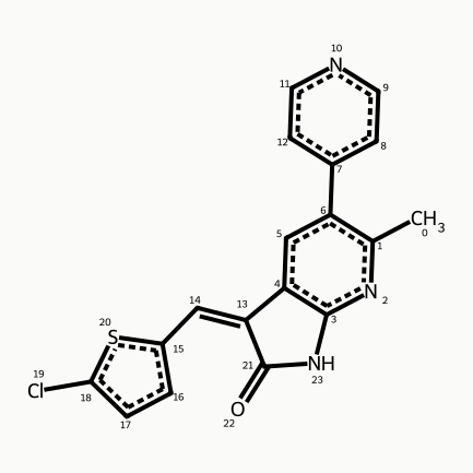 Cc1nc2c(cc1-c1ccncc1)C(=Cc1ccc(Cl)s1)C(=O)N2